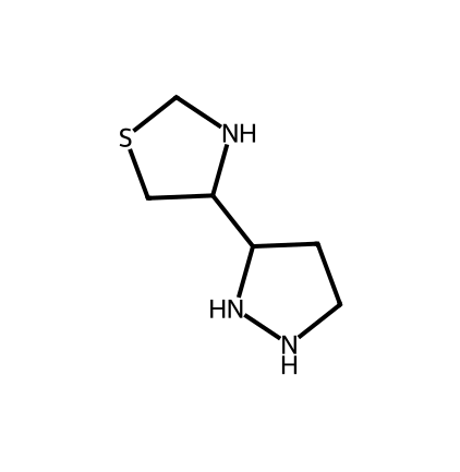 C1CC(C2CSCN2)NN1